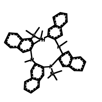 CN1c2cc3ccccc3cc2P([Si](C)(C)C)c2cc3ccccc3cc2N(C)c2cc3ccccc3cc2[PH](C)([Si](C)(C)C)c2cc3ccccc3cc21